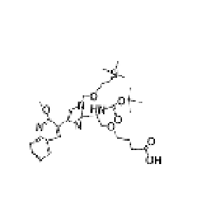 COc1nc2ccccc2cc1-c1cn(COCC[Si](C)(C)C)c(C(COCCCC(=O)O)NC(=O)OC(C)(C)C)n1